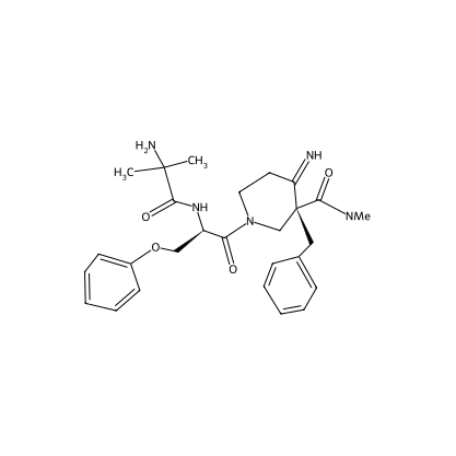 CNC(=O)[C@]1(Cc2ccccc2)CN(C(=O)[C@@H](COc2ccccc2)NC(=O)C(C)(C)N)CCC1=N